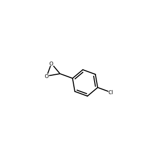 Clc1ccc(C2OO2)cc1